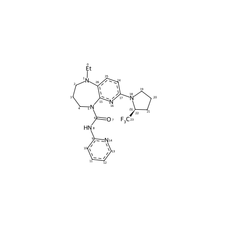 CCN1CCCN(C(=O)Nc2ccccn2)c2nc(N3CCC[C@H]3C(F)(F)F)ccc21